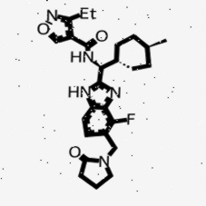 CCc1nocc1C(=O)N[C@H](c1nc2c(F)c(CN3CCCC3=O)ccc2[nH]1)[C@H]1CC[C@H](C)CC1